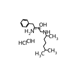 CC(C)CCCC(C)NC[C@@H](O)[C@@H](N)Cc1ccccc1.Cl.Cl